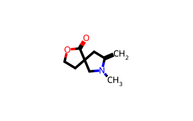 C=C1CC2(CCOC2=O)CN1C